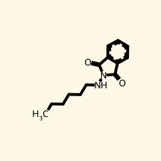 CCCCCCNN1C(=O)c2ccccc2C1=O